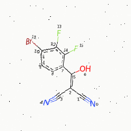 N#CC(C#N)=C(O)c1ccc(Br)c(F)c1F